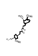 COc1ccc(C=CC(=O)CC(=O)C=Cc2ccc([N+](=O)[O-])c(OC)c2)cc1O